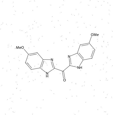 COc1ccc2[nH]c(C(=O)c3nc4cc(OC)ccc4[nH]3)nc2c1